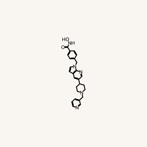 O=C(NO)c1ccc(Cn2ccc3cc(C4CCN(Cc5cccnc5)CC4)cnc32)cc1